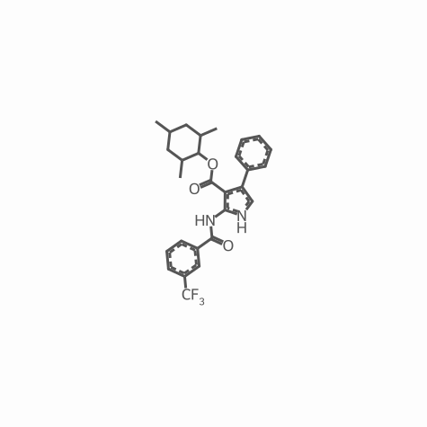 CC1CC(C)C(OC(=O)c2c(-c3ccccc3)c[nH]c2NC(=O)c2cccc(C(F)(F)F)c2)C(C)C1